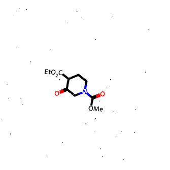 CCOC(=O)C1CCN(C(=O)OC)CC1=O